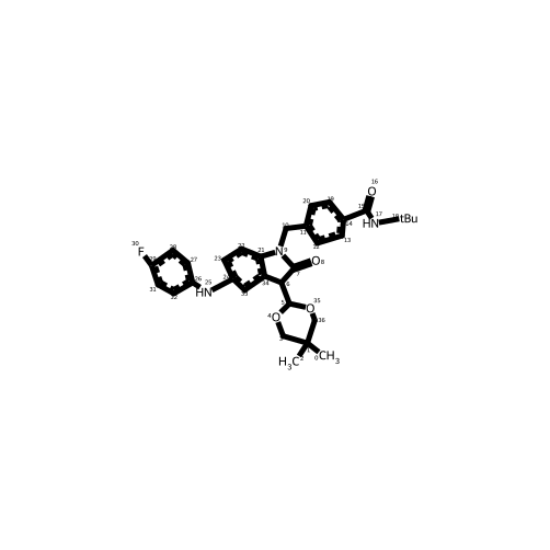 CC1(C)COC(C2C(=O)N(Cc3ccc(C(=O)NC(C)(C)C)cc3)c3ccc(Nc4ccc(F)cc4)cc32)OC1